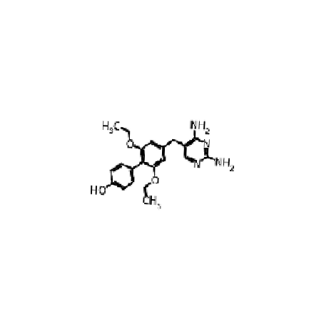 CCOc1cc(Cc2cnc(N)nc2N)cc(OCC)c1-c1ccc(O)cc1